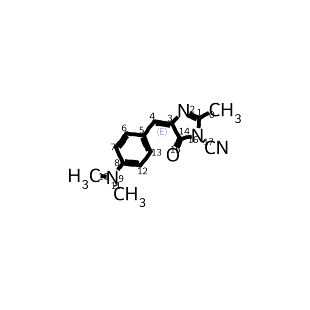 CC1=N/C(=C/c2ccc(N(C)C)cc2)C(=O)N1C#N